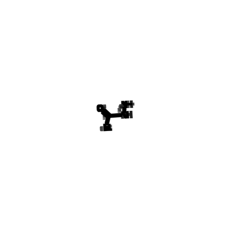 CCC(=O)N[NH]